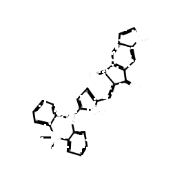 C[Si]1(C)c2ccccc2N(c2ccc(/C=C3\C(=O)c4cc5cc[se]c5cc4C3=O)[se]2)c2ccccc21